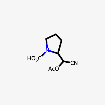 CC(=O)OC(C#N)C1CCCN1C(=O)O